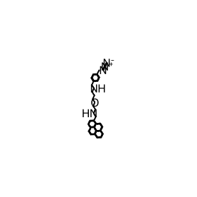 [N-]=[N+]=NCc1ccc(CNCCCOCCNCc2ccc3ccc4cccc5ccc2c3c45)cc1